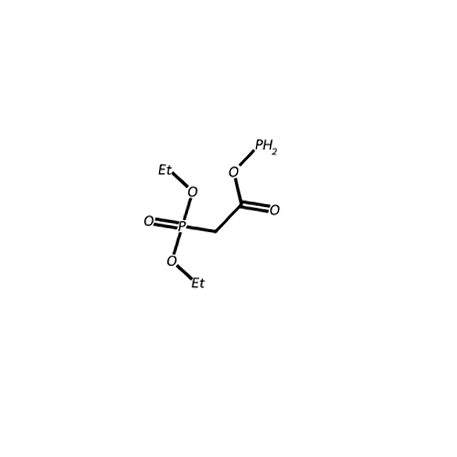 CCOP(=O)(CC(=O)OP)OCC